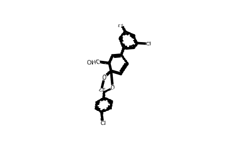 O=CC1C=C(c2cc(Cl)cc(Cl)c2)C=CC1(OCc1ccc(Cl)cc1)OC(F)(F)F